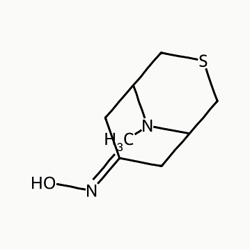 CN1C2CSCC1CC(=NO)C2